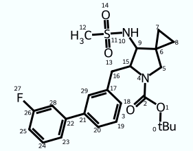 CC(C)(C)OC(=O)N1CC2(CC2)C(NS(C)(=O)=O)C1Cc1cccc(-c2cccc(F)c2)c1